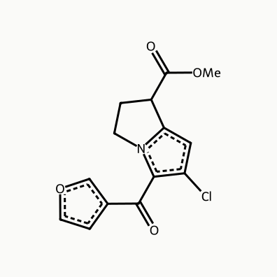 COC(=O)C1CCn2c1cc(Cl)c2C(=O)c1ccoc1